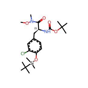 CON(C)C(=O)[C@H](Cc1ccc(O[Si](C)(C)C(C)(C)C)c(Cl)c1)NC(=O)OC(C)(C)C